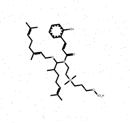 CC(C)=CCC/C(C)=C/COC(C(C)CCC=C(C)C)N(CC[N+](C)(C)CCCOS(=O)(=O)O)C(=O)/C=C/c1ccccc1O